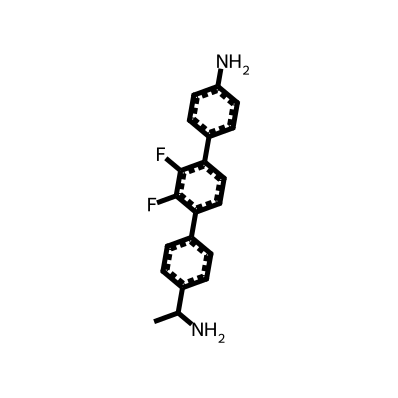 CC(N)c1ccc(-c2ccc(-c3ccc(N)cc3)c(F)c2F)cc1